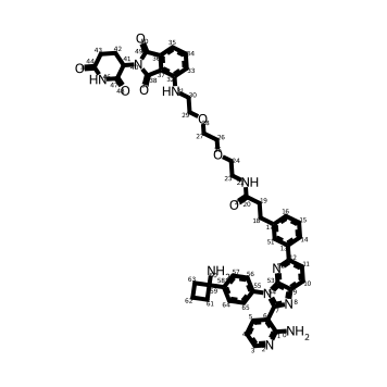 Nc1ncccc1-c1nc2ccc(-c3cccc(CCC(=O)NCCOCCOCCNc4cccc5c4C(=O)N(C4CCC(=O)NC4=O)C5=O)c3)nc2n1-c1ccc(C2(N)CCC2)cc1